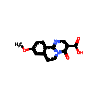 COc1ccc2c(ccn3c(=O)c(C(=O)O)cnc23)c1